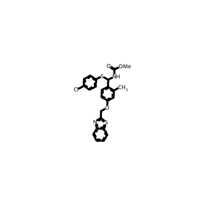 COC(=O)NC(Sc1ccc(Cl)cc1)c1ccc(OCc2nc3ccccc3s2)cc1C